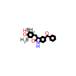 Bc1cc(/C=C2\C(=O)Nc3ccc(C(=O)c4ccccc4)cc32)cc(B)c1O